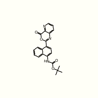 CC(C)(C)OC(=O)Nc1ccc(-c2nc3cccnc3c(=O)o2)c2ccccc12